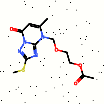 CSc1nc2n(COCCOC(C)=O)c(C)cc(=O)n2n1